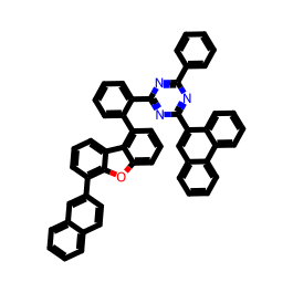 c1ccc(-c2nc(-c3ccccc3-c3cccc4oc5c(-c6ccc7ccccc7c6)cccc5c34)nc(-c3cc4ccccc4c4ccccc34)n2)cc1